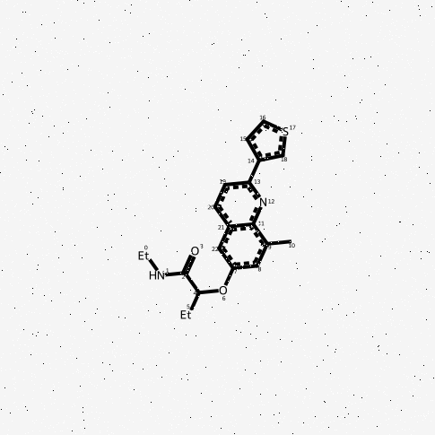 CCNC(=O)C(CC)Oc1cc(C)c2nc(-c3ccsc3)ccc2c1